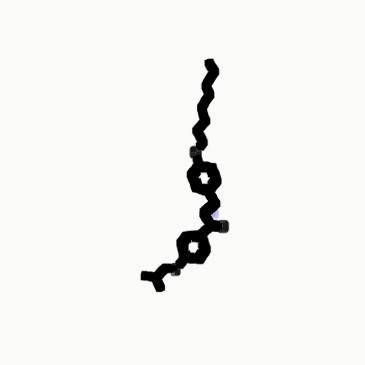 CCCCCCCCOc1ccc(/C=C/C(=O)c2ccc(SCC(C)C)cc2)cc1